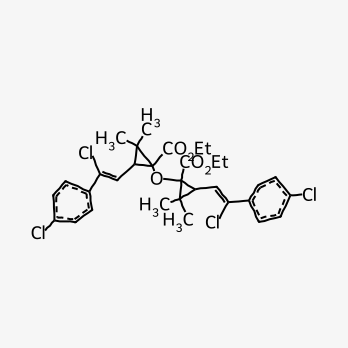 CCOC(=O)C1(OC2(C(=O)OCC)C(C=C(Cl)c3ccc(Cl)cc3)C2(C)C)C(C=C(Cl)c2ccc(Cl)cc2)C1(C)C